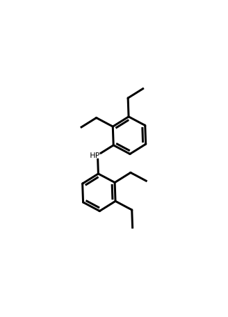 CCc1cccc(Pc2cccc(CC)c2CC)c1CC